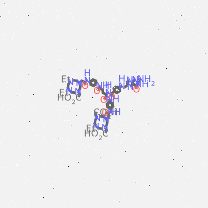 CCN1CCN(CC)CCN(CC(=O)Nc2ccc(NC(=O)CCC(NC(=O)c3ccc(NCc4cnc5nc(N)[nH]c(=O)c5n4)cc3)C(=O)Nc3ccc(NC(=O)CN4CCN(CC(=O)O)CCN(CC)CCN(CC(=O)O)CC4)cc3)cc2)CCN(CC(=O)O)CC1